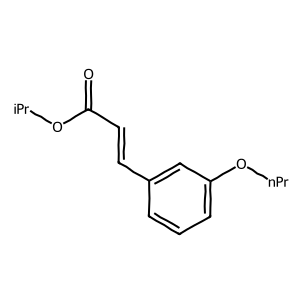 CCCOc1cccc(C=CC(=O)OC(C)C)c1